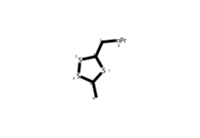 CCCCC1SSC(C)S1